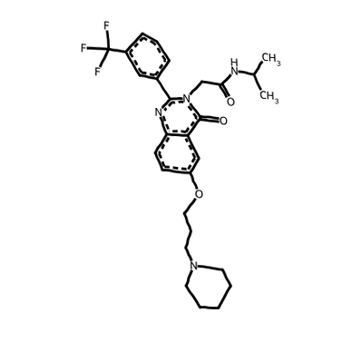 CC(C)NC(=O)Cn1c(-c2cccc(C(F)(F)F)c2)nc2ccc(OCCCN3CCCCC3)cc2c1=O